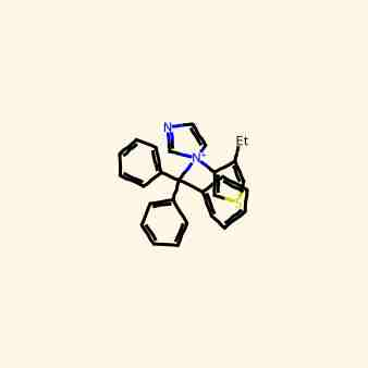 CCc1cscc1[N+]1(C(c2ccccc2)(c2ccccc2)c2ccccc2)C=[C]N=C1